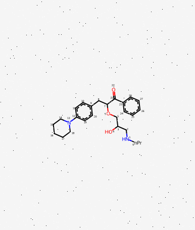 CCCNCC(O)COC(Cc1ccc(N2CCCCC2)cc1)C(=O)c1ccccc1